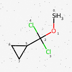 [SiH3]OC(Cl)(Cl)C1CC1